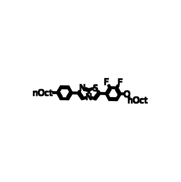 CCCCCCCCOc1ccc(-c2cn3cc(-c4ccc(CCCCCCCC)cc4)nc3s2)c(F)c1F